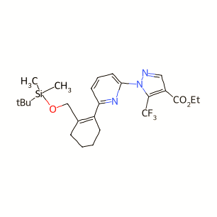 CCOC(=O)c1cnn(-c2cccc(C3=C(CO[Si](C)(C)C(C)(C)C)CCCC3)n2)c1C(F)(F)F